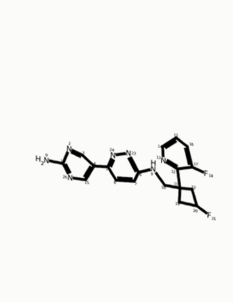 Nc1ncc(-c2ccc(NCC3(c4ncccc4F)CC(F)C3)nn2)cn1